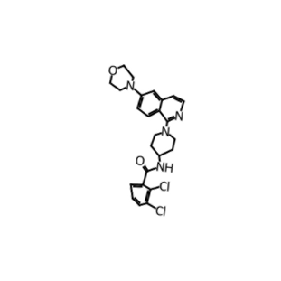 O=C(NC1CCN(c2nccc3cc(N4CCOCC4)ccc23)CC1)c1cccc(Cl)c1Cl